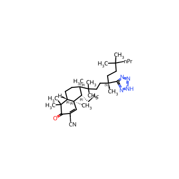 CCCC(C)(C)CC[C@@](C)(CCC(C)(C)[C@]1(C)CC[C@H]2C(C)(C)C(=O)C(C#N)=C[C@]2(C)[C@H]1CC(C)=O)c1nn[nH]n1